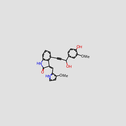 COc1cc(C(O)C#Cc2cccc3c2/C(=C/c2[nH]ccc2OC)C(=O)N3)ccc1O